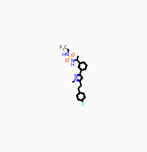 CC(NS(=O)(=O)NCC(F)(F)F)c1cccc(-c2cc(CCc3ccc(F)cc3)n(C)n2)c1